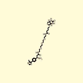 Cc1ncsc1-c1ccc([C@@H](N)CC(=O)NCCOCCOCCOCCNC(=O)CCCC[C@@H]2SC[C@@H]3NC(=O)N[C@@H]32)cc1